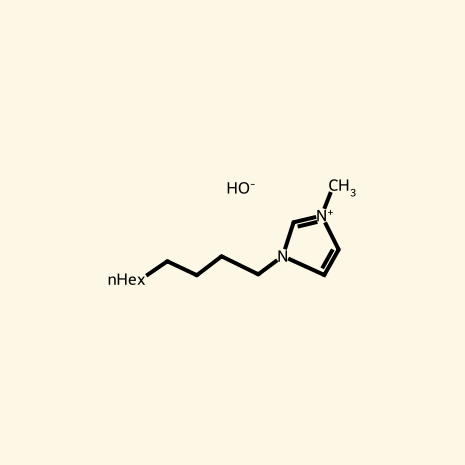 CCCCCCCCCCn1cc[n+](C)c1.[OH-]